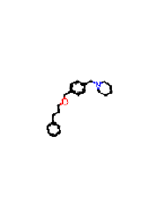 c1ccc(CCCOCc2ccc(CN3CCCCC3)cc2)cc1